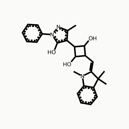 Cc1nn(-c2ccccc2)c(O)c1C1C(O)C(C=C2N(C)c3ccccc3C2(C)C)C1O